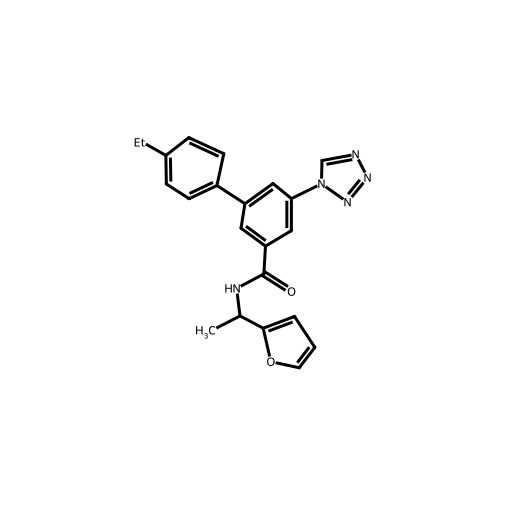 CCc1ccc(-c2cc(C(=O)NC(C)c3ccco3)cc(-n3cnnn3)c2)cc1